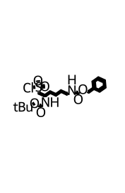 CC(C)(C)OC(=O)NC(CCCCNC(=O)OCc1ccccc1)CS(=O)(=O)Cl